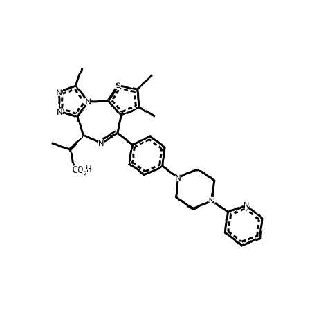 Cc1sc2c(c1C)C(c1ccc(N3CCN(c4ccccn4)CC3)cc1)=N[C@@H](C(C)C(=O)O)c1nnc(C)n1-2